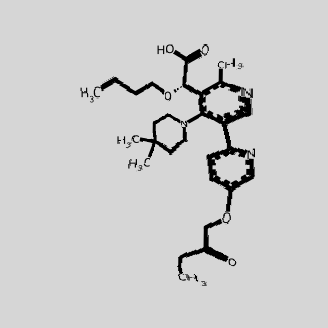 CCCCO[C@H](C(=O)O)c1c(C)ncc(-c2ccc(OCC(=O)CC)cn2)c1N1CCC(C)(C)CC1